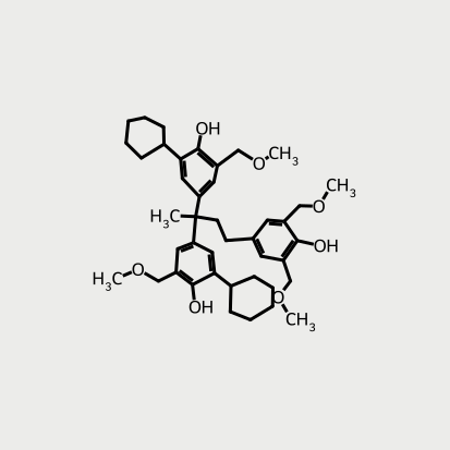 COCc1cc(CCC(C)(c2cc(COC)c(O)c(C3CCCCC3)c2)c2cc(COC)c(O)c(C3CCCCC3)c2)cc(COC)c1O